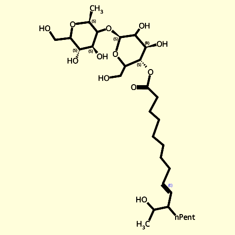 CCCCCC(/C=C/CCCCCCCC(=O)O[C@@H]1C(CO)O[C@@H](OC2[C@H](C)OC(CO)[C@@H](O)[C@@H]2O)C(O)[C@H]1O)C(C)O